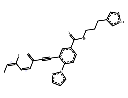 C=C(C#Cc1cc(C(=O)NCCCc2cn[nH]c2)ccc1-n1cccn1)/C=C\C(F)=C/C